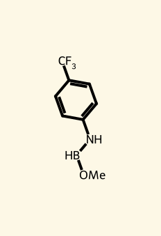 COBNc1ccc(C(F)(F)F)cc1